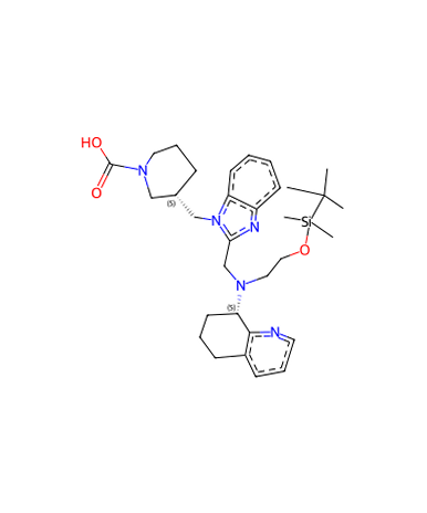 CC(C)(C)[Si](C)(C)OCCN(Cc1nc2ccccc2n1C[C@H]1CCCN(C(=O)O)C1)[C@H]1CCCc2cccnc21